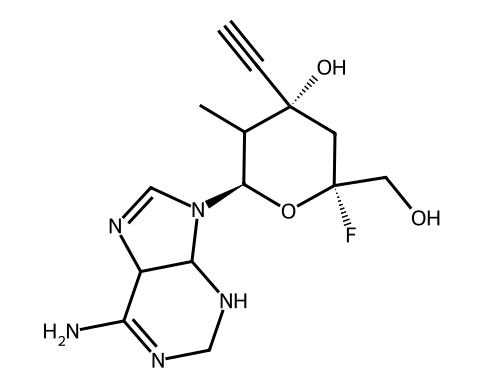 C#C[C@@]1(O)C[C@@](F)(CO)O[C@@H](N2C=NC3C(N)=NCNC32)C1C